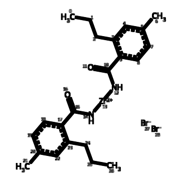 CCCc1cc(C)ccc1C(=O)[NH][Zr+2][NH]C(=O)c1ccc(C)cc1CCC.[Br-].[Br-]